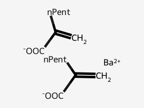 C=C(CCCCC)C(=O)[O-].C=C(CCCCC)C(=O)[O-].[Ba+2]